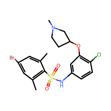 Cc1cc(Br)cc(C)c1S(=O)(=O)Nc1ccc(Cl)c(OC2CCN(C)C2)c1